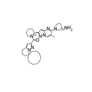 Cc1cn2nc([C@@H]3CCCCN3C(=O)c3cc4n(n3)C3(CCCCCCCCC3)CCC4)cc2nc1N1CC[C@H](N)C1